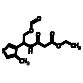 CCOC(=O)CC(=O)NC(COC=O)c1cscc1C